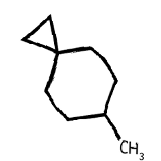 CC1CCC2(CC1)CC2